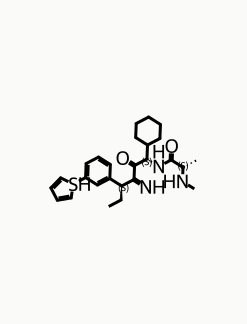 CC[C@H](C(=N)C(=O)[C@@H](NC(=O)[C@H](C)NC)C1CCCCC1)c1cccc([SH]2C=CC=C2)c1